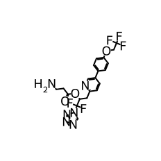 NCCC(=O)OC(Cc1ccc(-c2ccc(OCC(F)(F)F)cc2)cn1)C(F)(F)n1cnnn1